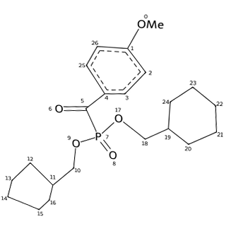 COc1ccc(C(=O)P(=O)(OCC2CCCCC2)OCC2CCCCC2)cc1